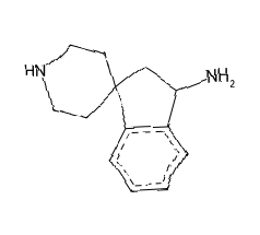 NC1CC2(CCNCC2)c2ccccc21